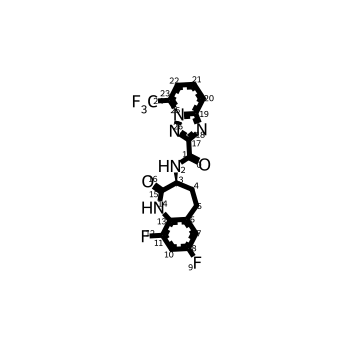 O=C(N[C@H]1CCc2cc(F)cc(F)c2NC1=O)c1nc2cccc(C(F)(F)F)n2n1